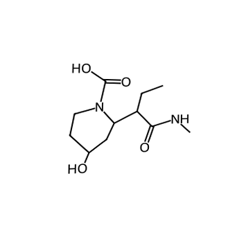 CCC(C(=O)NC)C1CC(O)CCN1C(=O)O